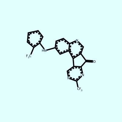 O=C1c2cnc3ccc(Nc4ccccc4C(F)(F)F)cc3c2-c2cnc(C(F)(F)F)nc21